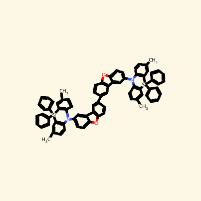 Cc1ccc2c(c1)[Si](c1ccccc1)(c1ccccc1)c1cc(C)ccc1N2c1ccc2oc3ccc(-c4ccc5oc6ccc(N7c8ccc(C)cc8[Si](c8ccccc8)(c8ccccc8)c8cc(C)ccc87)cc6c5c4)cc3c2c1